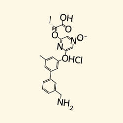 CC[C@@H](Oc1c[n+]([O-])cc(Oc2cc(C)cc(-c3cccc(CN)c3)c2)n1)C(=O)O.Cl